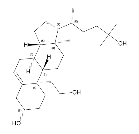 C[C@H](CCC(C)(C)O)[C@H]1CC[C@H]2[C@@H]3CC=C4C[C@@H](O)CC[C@]4(CCO)[C@H]3CC[C@]12C